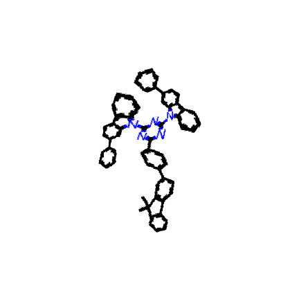 CC1(C)c2ccccc2-c2ccc(-c3ccc(-c4nc(-n5c6ccccc6c6ccc(-c7ccccc7)cc65)nc(-n5c6ccccc6c6ccc(-c7ccccc7)cc65)n4)cc3)cc21